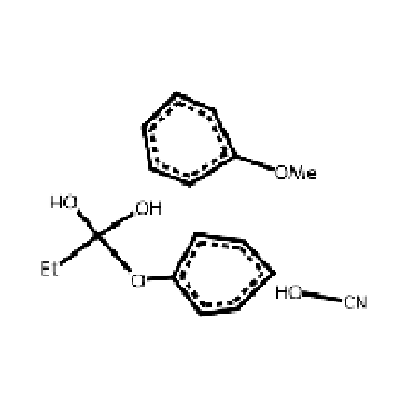 CCC(O)(O)Oc1ccccc1.COc1ccccc1.N#CO